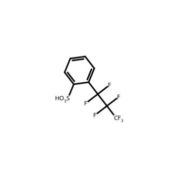 O=S(=O)(O)c1ccccc1C(F)(F)C(F)(F)C(F)(F)F